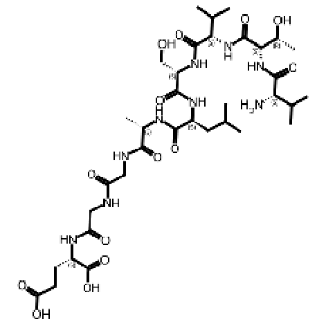 CC(C)C[C@H](NC(=O)[C@H](CO)NC(=O)[C@@H](NC(=O)[C@@H](NC(=O)[C@@H](N)C(C)C)[C@@H](C)O)C(C)C)C(=O)N[C@@H](C)C(=O)NCC(=O)NCC(=O)N[C@@H](CCC(=O)O)C(=O)O